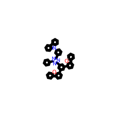 c1ccc(-c2nc(-c3cc(-c4cccc5c4oc4ccccc45)cc(-c4cccc5c4oc4ccccc45)c3)nc(-c3cccc(-n4c5ccccc5c5ccccc54)c3)n2)cc1